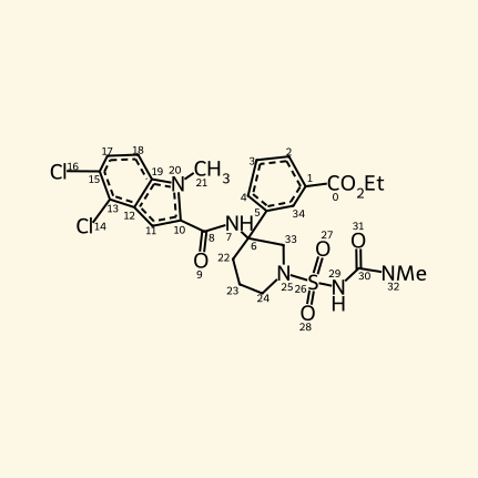 CCOC(=O)c1cccc(C2(NC(=O)c3cc4c(Cl)c(Cl)ccc4n3C)CCCN(S(=O)(=O)NC(=O)NC)C2)c1